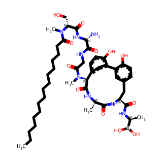 CCCCCCCCCCCCCCCC(=O)N(C)[C@H](CO)C(=O)N[C@H](N)C(=O)NCC(=O)N(C)[C@@H]1C(=O)N[C@@H](C)C(=O)N[C@H](C(=O)N[C@@H](C)B(O)O)Cc2ccc(O)c(c2)-c2cc1ccc2O